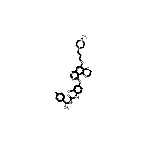 C[C@@H](NC(=O)Nc1ccc(Oc2ncnc3cc(OCCCN4CCN(C)CC4)c4c(c23)OCCO4)cc1Cl)c1ccc(F)cc1